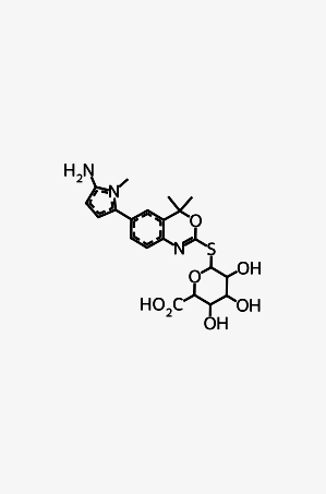 Cn1c(N)ccc1-c1ccc2c(c1)C(C)(C)OC(SC1OC(C(=O)O)C(O)C(O)C1O)=N2